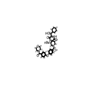 CCCCN1C(=O)[C@@H]([C@H](O)C2CCCCC2)NC(=O)C12CCN(Cc1ccc(Oc3ccc(C(=O)N4CCOCC4)cc3)cc1)CC2.Cl